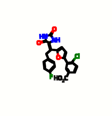 O=C1NC(=O)C(=C(Cc2ccc(F)cc2)c2ccc(-c3cc(C(=O)O)ccc3Cl)o2)N1